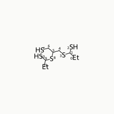 CCC(S)SCC(CS)SC(S)CC